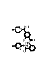 Cc1ccc(NC(=O)c2ccccc2NC(=O)c2ccc(C(=N)N3CCN(C)CC3)cc2F)nc1